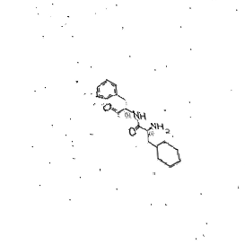 N[C@@H](CC1CCCCC1)C(=O)N[C@H]([C]=O)Cc1ccccc1